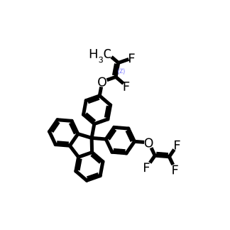 C/C(F)=C(/F)Oc1ccc(C2(c3ccc(OC(F)=C(F)F)cc3)c3ccccc3-c3ccccc32)cc1